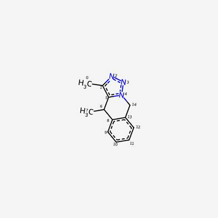 Cc1nnn2c1C(C)c1ccccc1C2